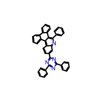 c1ccc(-c2nc(-c3ccccc3)nc(-c3ccc4c(c3)nc(-c3ccccc3)c3c5ccccc5c5ccccc5c43)n2)cc1